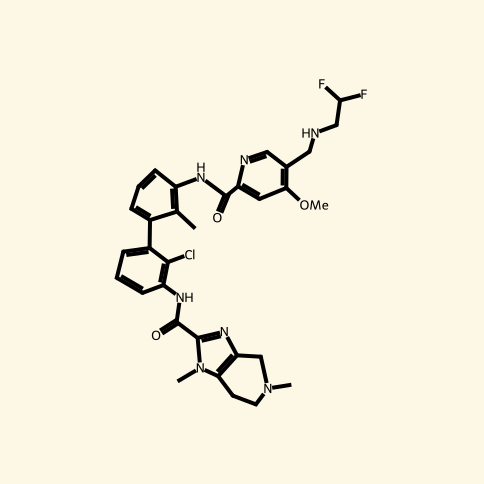 COc1cc(C(=O)Nc2cccc(-c3cccc(NC(=O)c4nc5c(n4C)CCN(C)C5)c3Cl)c2C)ncc1CNCC(F)F